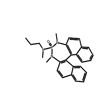 CCCN(C)P1(=O)N(C)c2ccc3ccccc3c2-c2c(ccc3ccccc23)N1C